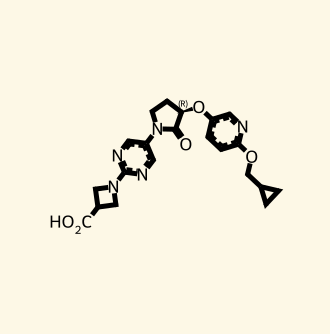 O=C(O)C1CN(c2ncc(N3CC[C@@H](Oc4ccc(OCC5CC5)nc4)C3=O)cn2)C1